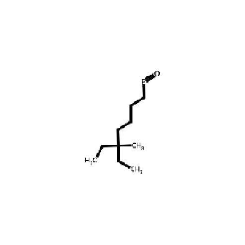 CCC(C)(CC)CCCCP=O